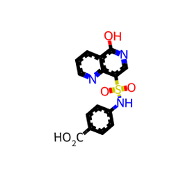 O=C(O)c1ccc(NS(=O)(=O)c2cnc(O)c3cccnc23)cc1